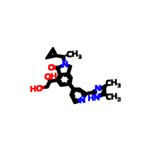 Cc1nc(-c2cc(-c3cc4c(c(C(O)CO)c3)C(=O)N([C@@H](C)C3CC3)C4)ccn2)[nH]c1C